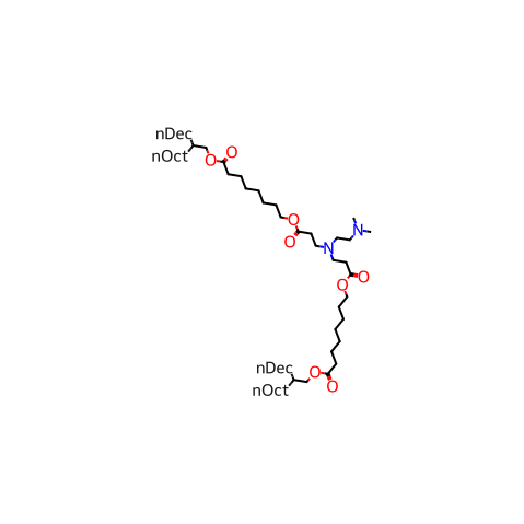 CCCCCCCCCCC(CCCCCCCC)COC(=O)CCCCCCCOC(=O)CCN(CCC(=O)OCCCCCCCC(=O)OCC(CCCCCCCC)CCCCCCCCCC)CCN(C)C